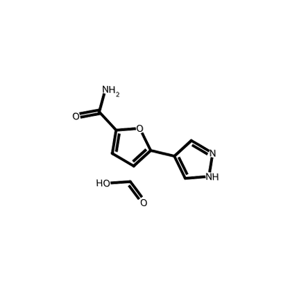 NC(=O)c1ccc(-c2cn[nH]c2)o1.O=CO